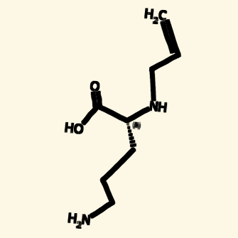 C=CCN[C@H](CCCN)C(=O)O